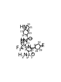 CC1(N)COc2c1cc(C(O)(CNC(=O)c1ccc3[nH]ccc3c1)C(F)(F)F)nc2-c1ccc(F)cc1